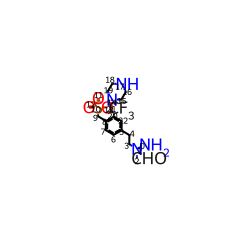 NN(C=O)CCc1ccc(CS(=O)(=O)ON2CCNCC2)c(C(F)(F)F)c1